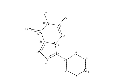 Cc1cn2c(C3CCOCC3)ncc2c(=O)n1C